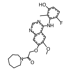 COc1cc2c(Nc3c(F)ccc(O)c3C)ncnc2cc1OCC(=O)N1CCCCCC1